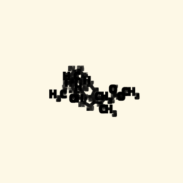 CC[C@H]1C(=O)[C@@H]2[C@H](CC[C@]3(C)[C@@H](C(C)CCC(=O)OC)CC[C@@H]23)[C@@]2(C)CC=CC[C@@H]12